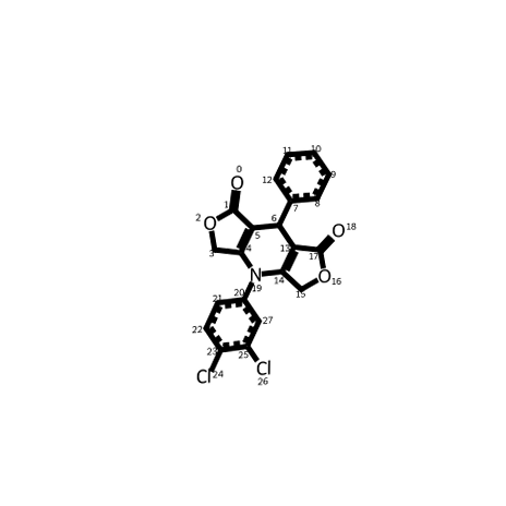 O=C1OCC2=C1C(c1ccccc1)C1=C(COC1=O)N2c1ccc(Cl)c(Cl)c1